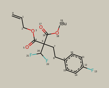 C=CCOC(=O)C(CCc1ccc(F)cc1)(C(=O)OC(C)(C)C)C(F)F